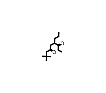 CCCC(CC(=O)CC(C)(C)C)C(=O)CI